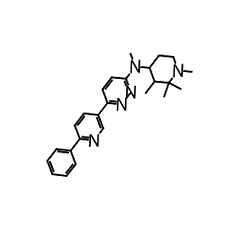 CC1C(N(C)c2ccc(-c3ccc(-c4ccccc4)nc3)nn2)CCN(C)C1(C)C